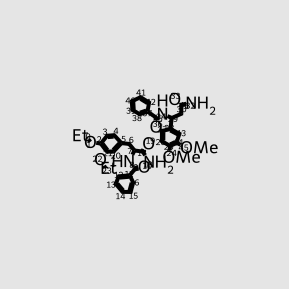 CCOc1ccc(CC(NC(=O)c2ccccc2)C(N)=O)cc1OCC.COc1ccc(C(CC(N)=O)NC(=O)c2ccccc2)cc1OC